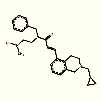 CN(C)CCN(Cc1ccccc1)C(=O)/C=C/c1cccc2c1CCN(CC1CC1)C2